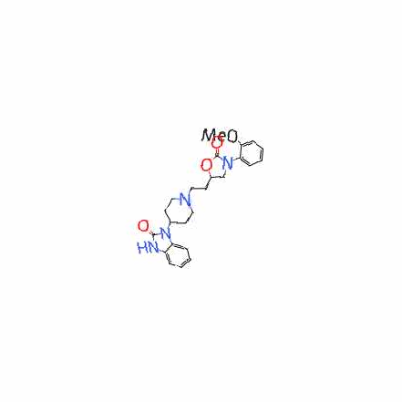 COc1ccccc1N1CC(CCN2CCC(n3c(=O)[nH]c4ccccc43)CC2)OC1=O